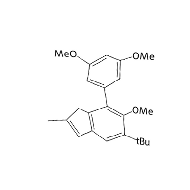 COc1cc(OC)cc(-c2c3c(cc(C(C)(C)C)c2OC)C=C(C)C3)c1